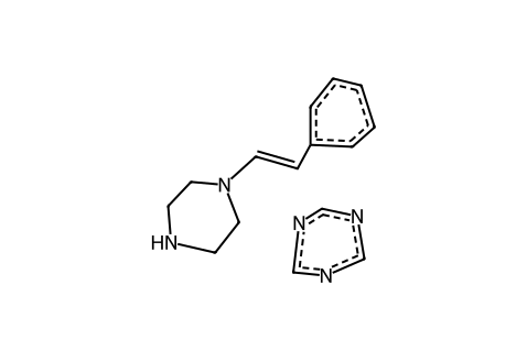 C(=CN1CCNCC1)c1ccccc1.c1ncncn1